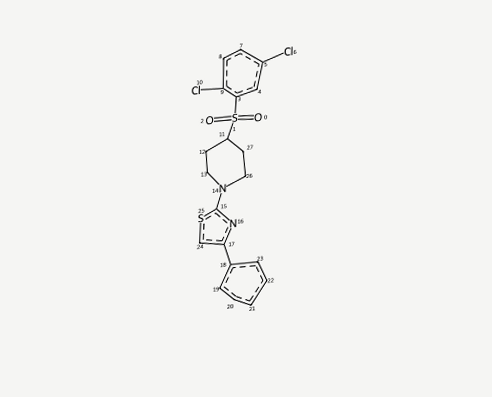 O=S(=O)(c1cc(Cl)ccc1Cl)C1CCN(c2nc(-c3ccccc3)cs2)CC1